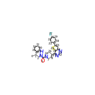 CC(CNC(=O)N1CC=C(c2ncnc3cc(-c4ccc(F)cc4)sc23)CC1)c1ccccc1